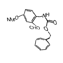 COc1ccc(NC(=O)OCc2ccccc2)c(C=O)c1